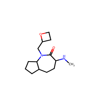 CNC1CCC2CCCC2N(CC2CCO2)C1=O